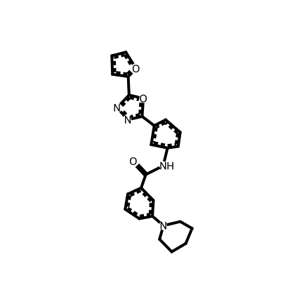 O=C(Nc1cccc(-c2nnc(-c3ccco3)o2)c1)c1cccc(N2CCCCC2)c1